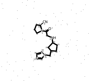 N#C[C@@H]1CCCN1C(=O)CNC1CCC(Cn2cncn2)C1